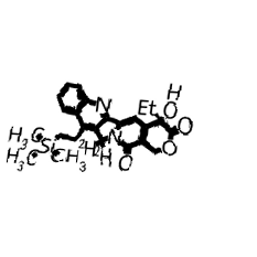 [2H]C1([2H])c2c(nc3ccccc3c2CC[Si](C)(C)C)-c2cc3c(c(=O)n21)COC(=O)[C@]3(O)CC